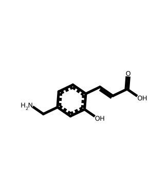 NCc1ccc(C=CC(=O)O)c(O)c1